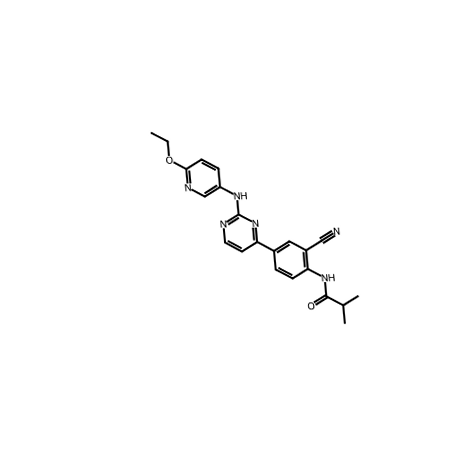 CCOc1ccc(Nc2nccc(-c3ccc(NC(=O)C(C)C)c(C#N)c3)n2)cn1